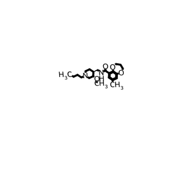 CCCCN1CC[C@@H](CNC(=O)c2cc(C)cc3c2OCCCO3)C(OC)C1